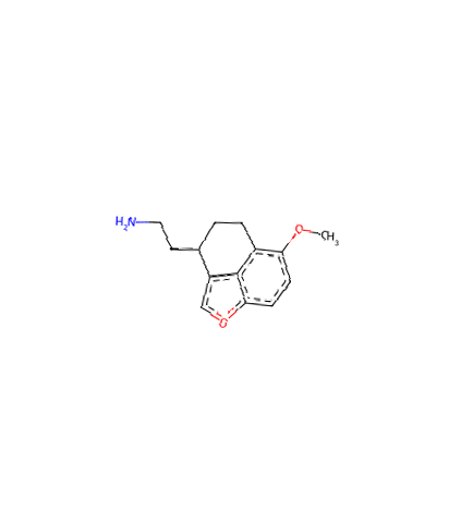 COc1ccc2occ3c2c1CCC3CCN